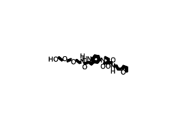 O=C(NCCOCCOCCO)c1cc2cc(N3CCC(O)(C(=O)NCCc4ccco4)C3=O)ccc2[nH]1